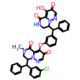 CN1CC(C(c2ccccc2)c2cccc(Cl)c2)n2ncc(=O)c(Oc3cccc(C(c4ccccc4)C4CNC(=O)c5c(O)c(=O)cnn54)c3)c2C1=O